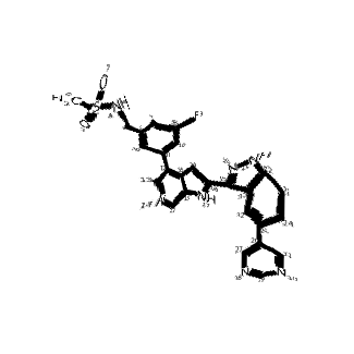 CS(=O)(=O)NCc1cc(F)cc(-c2cncc3[nH]c(-c4n[nH]c5ccc(-c6cncnc6)cc45)cc23)c1